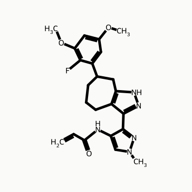 C=CC(=O)Nc1cn(C)nc1-c1n[nH]c2c1CCCC(c1cc(OC)cc(OC)c1F)C2